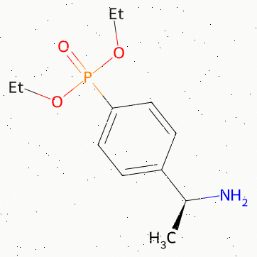 CCOP(=O)(OCC)c1ccc([C@H](C)N)cc1